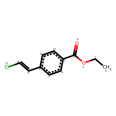 CCOC(=O)c1ccc(C=CCl)cc1